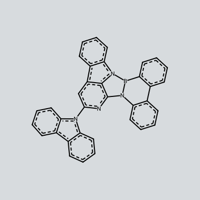 c1ccc2c(c1)B1N(c3ccccc3-2)c2nc(-n3c4ccccc4c4ccccc43)cc3c4ccccc4n1c23